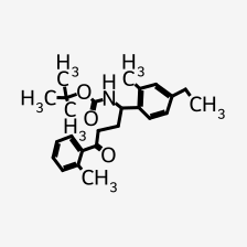 CCc1ccc(C(CCC(=O)c2ccccc2C)NC(=O)OC(C)(C)C)c(C)c1